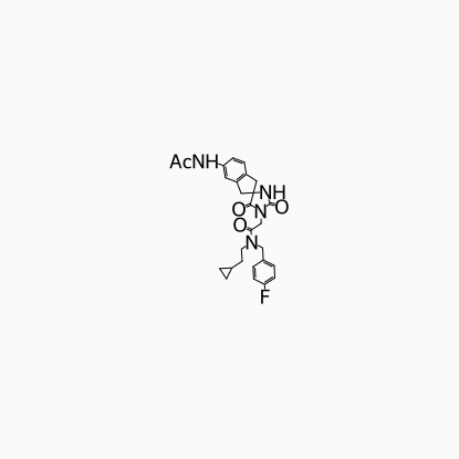 CC(=O)Nc1ccc2c(c1)CC1(C2)NC(=O)N(CC(=O)N(CCC2CC2)Cc2ccc(F)cc2)C1=O